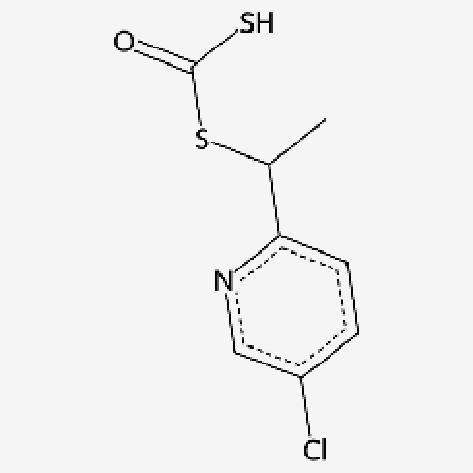 CC(SC(=O)S)c1ccc(Cl)cn1